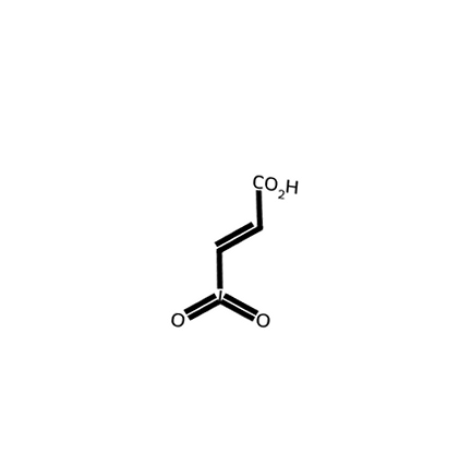 O=C(O)C=CI(=O)=O